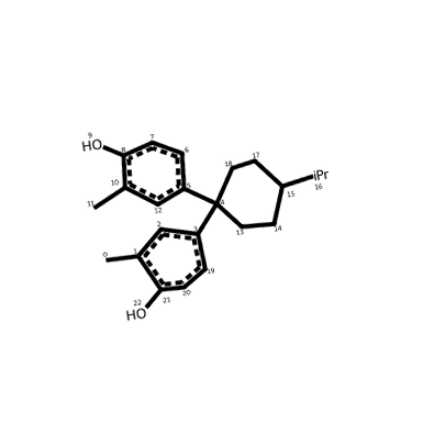 Cc1cc(C2(c3ccc(O)c(C)c3)CCC(C(C)C)CC2)ccc1O